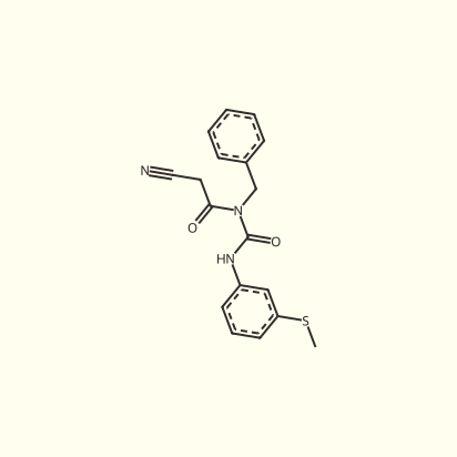 CSc1cccc(NC(=O)N(Cc2ccccc2)C(=O)CC#N)c1